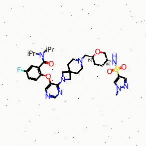 CC(C)N(C(=O)c1cc(F)ccc1Oc1cncnc1N1CC2(CCN(C[C@@H]3CC[C@@H](NS(=O)(=O)c4cnn(C)c4)CO3)CC2)C1)C(C)C